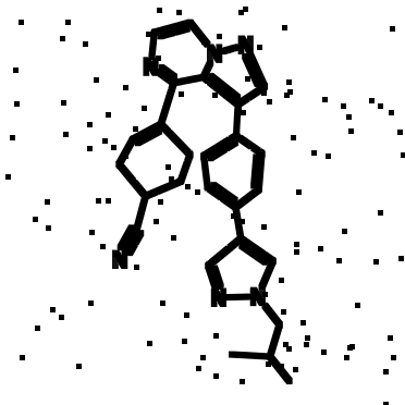 CC(C)Cn1cc(-c2ccc(-c3cnn4ccnc(C5=CCC(C#N)CC5)c34)cc2)cn1